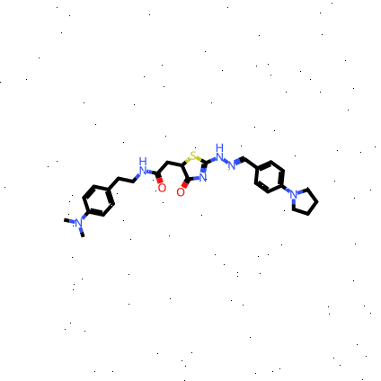 CN(C)c1ccc(CCNC(=O)CC2SC(N/N=C/c3ccc(N4CCCC4)cc3)=NC2=O)cc1